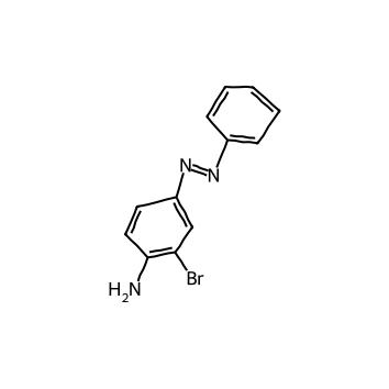 Nc1ccc(N=Nc2ccccc2)cc1Br